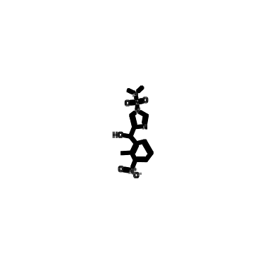 Cc1c(C(O)c2cn(S(=O)(=O)N(C)C)cn2)cccc1[N+](=O)[O-]